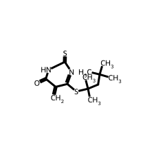 C=C1C(=O)NC(=S)N=C1SC(C)(C)CC(C)(C)C